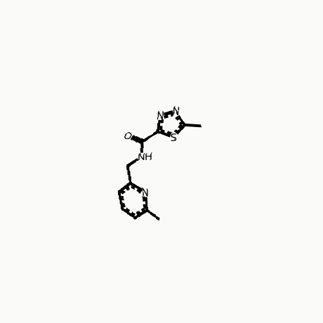 Cc1cccc(CNC(=O)c2nnc(C)s2)n1